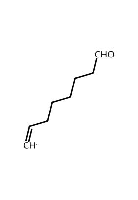 [CH]=CCCCCCC=O